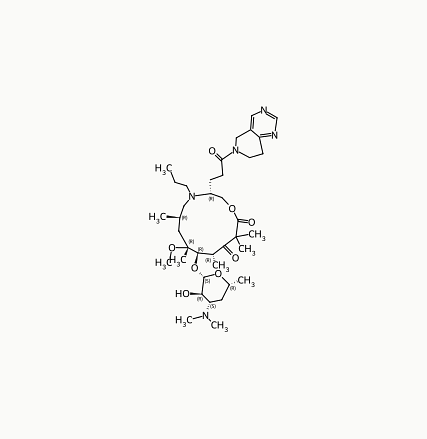 CCCN1C[C@H](C)C[C@@](C)(OC)[C@H](O[C@@H]2O[C@H](C)C[C@H](N(C)C)[C@H]2O)[C@@H](C)C(=O)C(C)(C)C(=O)OC[C@H]1CCC(=O)N1CCc2ncncc2C1